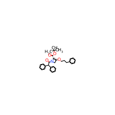 CC(C)(C)OC(=O)[C@@H]1[C@H](OCCCc2ccccc2)CN1C(=O)C(c1ccccc1)c1ccccc1